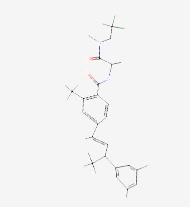 CC(NC(=O)c1ccc(/C(F)=C/C(c2cc(Cl)cc(Br)c2)C(F)(F)F)cc1C(F)(F)F)C(=O)N(C)CC(F)(F)F